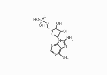 Nc1ncnc2c1nc(N)n2[C@@H]1O[C@H](COP(=O)(O)O)C(O)C1O